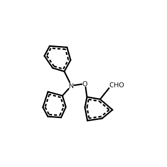 O=Cc1ccccc1ON(c1ccccc1)c1ccccc1